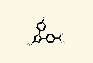 Cc1cc(-c2ccc(C(C)O)cc2)n(-c2ccc(S)cc2)c1